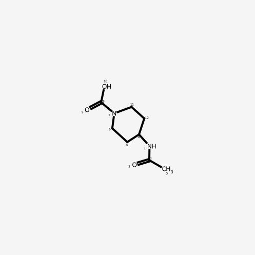 CC(=O)NC1CCN(C(=O)O)CC1